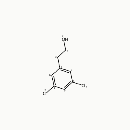 OCCc1cc(Cl)cc(Cl)c1